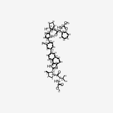 C=C1CCN(C(=O)[C@@H](NC(=O)OC)C(C)C)[C@@H]1c1nc2ccc3cc(-c4ccc(-c5cnc(C6[C@H]7CCC(C7)N6C(=O)[C@H](NC(=O)OC)c6ccccc6)[nH]5)c(F)c4)ccc3c2[nH]1